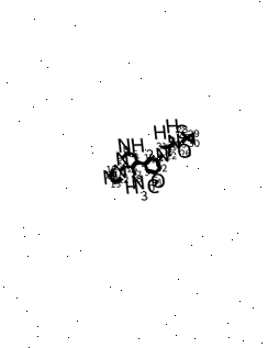 COc1cc(-c2cc(N)nc(-n3ccnc3)c2C#N)cc(N2CC(NC(=O)C3(C)CC3)C2)c1